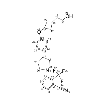 N#Cc1cccc(N2CCC(c3ccc(OC4CC(CCO)C4)cc3)CC2)c1C(F)(F)F